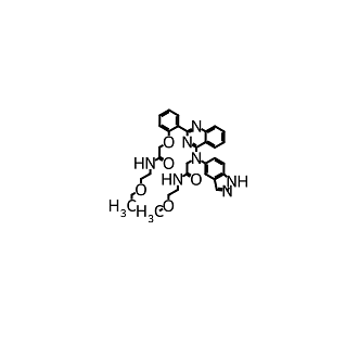 CCOCCNC(=O)COc1ccccc1-c1nc(N(CC(=O)NCCOC)c2ccc3[nH]ncc3c2)c2ccccc2n1